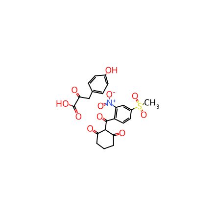 CS(=O)(=O)c1ccc(C(=O)C2C(=O)CCCC2=O)c([N+](=O)[O-])c1.O=C(O)C(=O)Cc1ccc(O)cc1